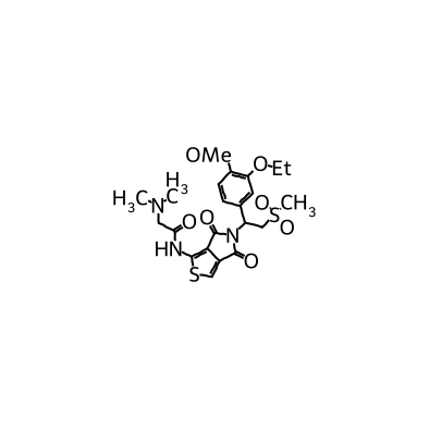 CCOc1cc(C(CS(C)(=O)=O)N2C(=O)c3csc(NC(=O)CN(C)C)c3C2=O)ccc1OC